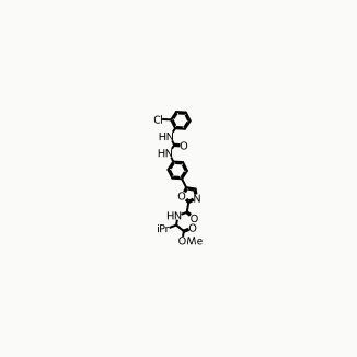 COC(=O)C(NC(=O)c1ncc(-c2ccc(NC(=O)Nc3ccccc3Cl)cc2)o1)C(C)C